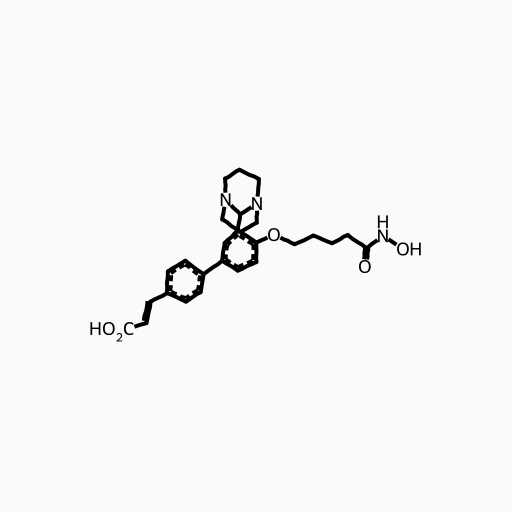 O=C(O)/C=C/c1ccc(-c2ccc(OCCCCC(=O)NO)c(C3N4CCCN3CCC4)c2)cc1